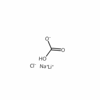 O=C([O-])O.[Cl-].[Li+].[Na+]